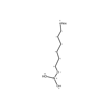 CCCCCCCCCCCCON(O)O